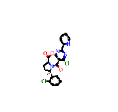 O=C(O)[C@@H]1CC[C@H](c2ccccc2Cl)N1C(=O)c1cnc(-c2ccccn2)nc1Cl